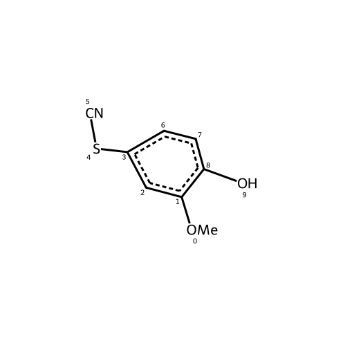 COc1cc(SC#N)ccc1O